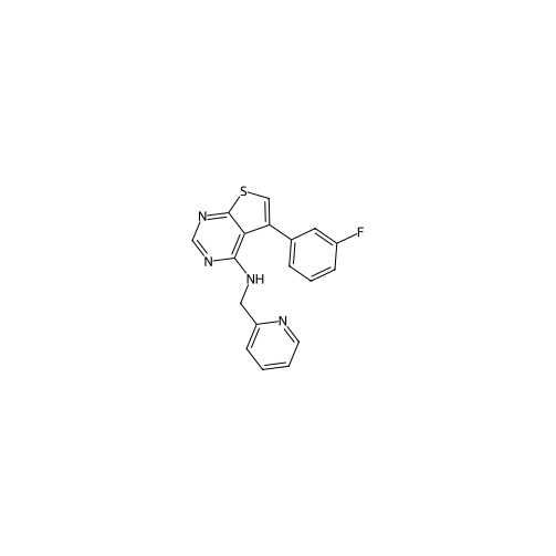 Fc1cccc(-c2csc3ncnc(NCc4ccccn4)c23)c1